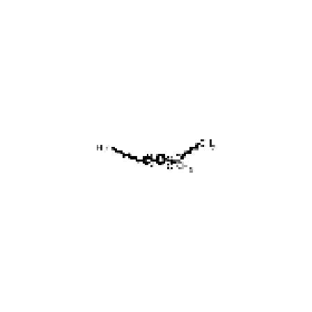 CCCCCCCCCc1cnc(-c2ccc(OC(=O)C(C)OCCCCCCC)cc2)nc1